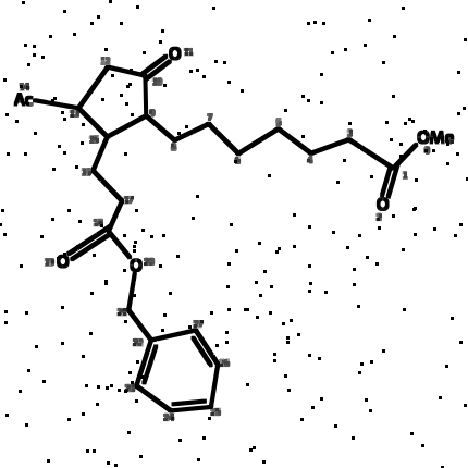 COC(=O)CCCCCCC1C(=O)CC(C(C)=O)C1CCC(=O)OCc1ccccc1